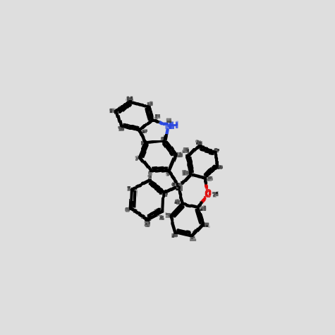 c1ccc([Si]2(c3ccc4c(c3)[nH]c3ccccc34)c3ccccc3Oc3ccccc32)cc1